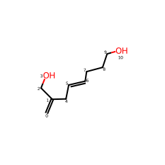 C=C(CO)CC=CCCCO